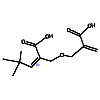 C=C(COC/C(=C/C(C)(C)C)C(=O)O)C(=O)O